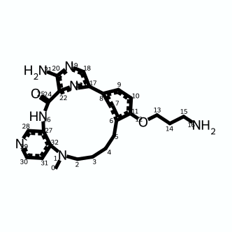 CN1CCCCc2cc(ccc2OCCCN)-c2cnc(N)c(n2)C(=O)Nc2cnccc21